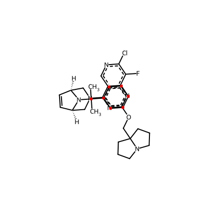 CC(C)(c1ccccc1)N1[C@@H]2C=C[C@H]1CN(c1nc(OCC34CCCN3CCC4)nc3c(F)c(Cl)ncc13)C2